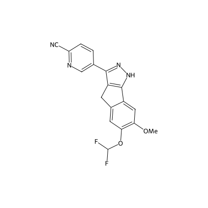 COc1cc2c(cc1OC(F)F)Cc1c(-c3ccc(C#N)nc3)n[nH]c1-2